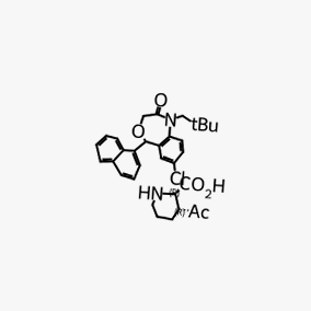 CC(=O)[C@@H]1CCCN[C@H]1C(=O)O.CC(C)(C)CN1C(=O)COC(c2cccc3ccccc23)c2cc(Cl)ccc21